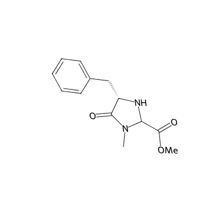 COC(=O)C1N[C@@H](Cc2ccccc2)C(=O)N1C